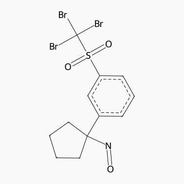 O=NC1(c2cccc(S(=O)(=O)C(Br)(Br)Br)c2)CCCC1